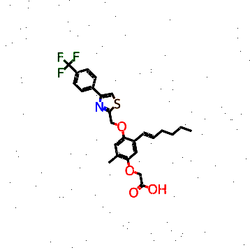 CCCCC=Cc1cc(OCC(=O)O)c(C)cc1OCc1nc(-c2ccc(C(F)(F)F)cc2)cs1